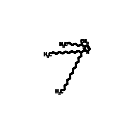 CCCCCCCCCCCCCCC(CCCCCCCCCC)c1nccn1C(C)CCCCC